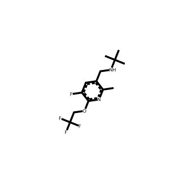 Cc1nc(OCC(F)(F)F)c(F)cc1CNC(C)(C)C